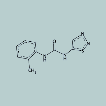 Cc1ccccc1NC(=O)Nc1cnns1